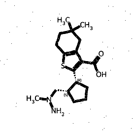 CN(N)C[C@H]1CCC[C@H]1c1sc2c(c1C(=O)O)CC(C)(C)CC2